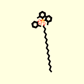 CCCCCCCCCCCCCCCCCCOP(O)(Oc1ccccc1C)(c1ccccc1C)c1ccccc1C